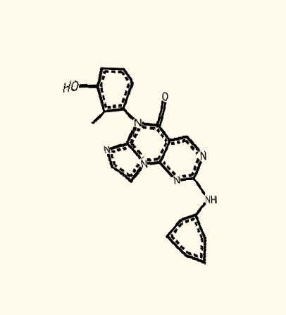 Cc1c(O)cccc1-n1c(=O)c2cnc(Nc3ccccc3)nc2n2ccnc12